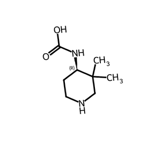 CC1(C)CNCC[C@H]1NC(=O)O